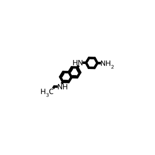 CCNc1ccc2cc(NC3CCC(N)CC3)ccc2c1